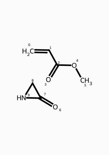 C=CC(=O)OC.O=C1CN1